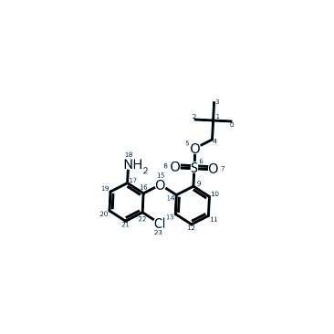 CC(C)(C)COS(=O)(=O)c1ccccc1Oc1c(N)cccc1Cl